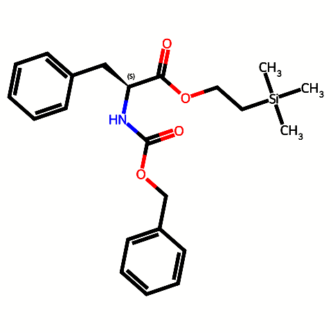 C[Si](C)(C)CCOC(=O)[C@H](Cc1ccccc1)NC(=O)OCc1ccccc1